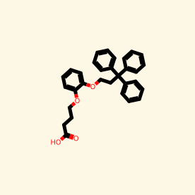 O=C(O)CCCOc1ccccc1OCCC(c1ccccc1)(c1ccccc1)c1ccccc1